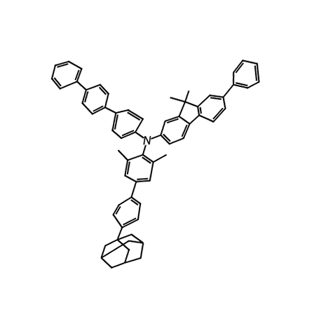 Cc1cc(-c2ccc(C34CC5CC(CC(C5)C3)C4)cc2)cc(C)c1N(c1ccc(-c2ccc(-c3ccccc3)cc2)cc1)c1ccc2c(c1)C(C)(C)c1cc(-c3ccccc3)ccc1-2